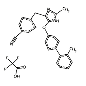 Cc1nc(Cc2ccc(C#N)cc2)c(Oc2ccc(-c3ccccc3C)cc2)[nH]1.O=C(O)C(F)(F)F